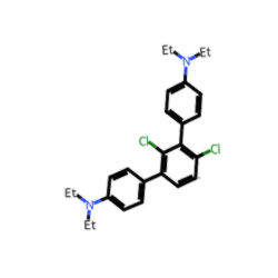 CCN(CC)c1ccc(-c2c[c]c(Cl)c(-c3ccc(N(CC)CC)cc3)c2Cl)cc1